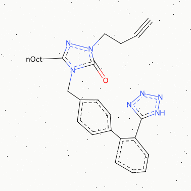 C#CCCn1nc(CCCCCCCC)n(Cc2ccc(-c3ccccc3-c3nnn[nH]3)cc2)c1=O